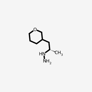 C[C@@H](CC1CCCOC1)NN